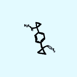 CNC1(c2ccc(C3(C)CC3)cc2)CC1